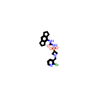 O=C(Nc1c2c(cc3c1CCC3)CCC2)NS(=O)(=O)C1CN(Cc2cccnc2Br)C1